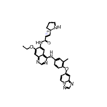 CCOc1cc2ncnc(Nc3ccc(Oc4ccn5ncnc5c4)c(C)c3)c2cc1NC(=O)/C=C/[C@H]1CCCN1